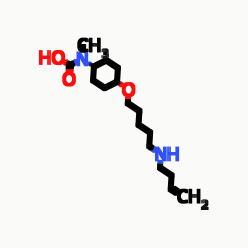 C=CCCNCCCCCO[C@H]1CC[C@H](N(C)C(=O)O)CC1